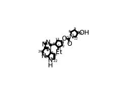 CC[C@@H]1C[C@H](OC(=O)N2CC[C@H](O)C2)C[C@@H]1c1nnc2n1C1C=CNC1N=C2